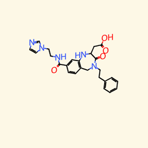 O=C(O)CC1Nc2cc(C(=O)NCCn3ccnc3)ccc2CN(CCc2ccccc2)C1=O